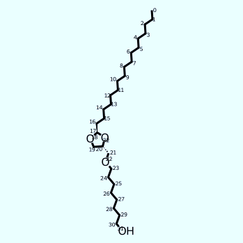 CCCCCCCCCCCCCCCCC[C@@H]1OC[C@@H](COCCCCCCCCO)O1